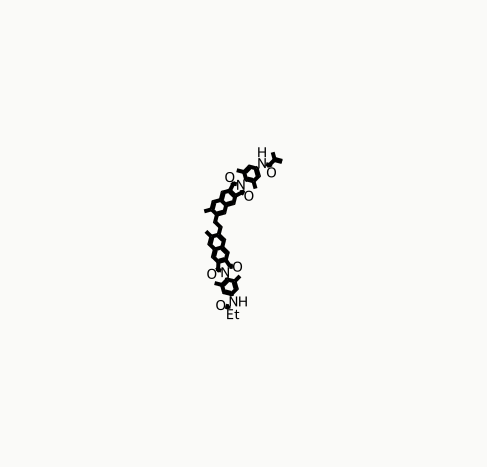 C=C(C)C(=O)Nc1cc(C)c(N2C(=O)c3cc4cc(C)c(CCc5cc6cc7c(cc6cc5C)C(=O)N(c5c(C)cc(NC(=O)CC)cc5C)C7=O)cc4cc3C2=O)c(C)c1